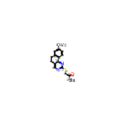 COc1ccc2c(c1)CCc1cnc(SCC(=O)C(C)(C)C)nc1-2